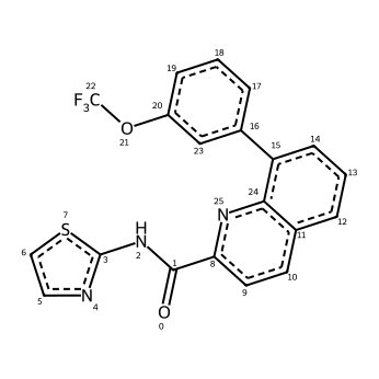 O=C(Nc1nccs1)c1ccc2cccc(-c3cccc(OC(F)(F)F)c3)c2n1